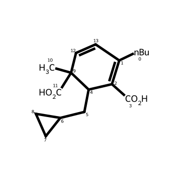 CCCCC1=C(C(=O)O)C(CC2CC2)C(C)(C(=O)O)C=C1